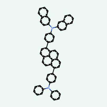 c1ccc(N(c2ccccc2)c2ccc(-c3ccc4ccc5c(-c6ccc(N(c7ccc8ccccc8c7)c7ccc8ccccc8c7)cc6)ccc6ccc3c4c65)cc2)cc1